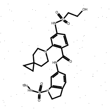 CC(C)(C)NS(=O)(=O)N1CCc2ccc(NC(=O)c3ccc(NS(=O)(=O)CCO)cc3N3CCC4(CC3)CC4)cc21